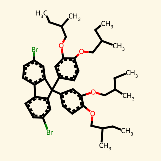 CCC(C)COc1ccc(C2(c3ccc(OCC(C)CC)c(OCC(C)CC)c3)c3cc(Br)ccc3-c3ccc(Br)cc32)cc1OCC(C)CC